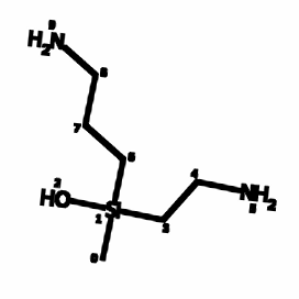 C[Si](O)(CCN)CCCN